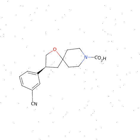 N#Cc1cccc([C@H]2COC3(CCN(C(=O)O)CC3)C2)c1